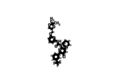 CC1(C)OC[C@@H](COc2cccc(NC(=O)N3c4nc(-c5cccc(C(F)(F)F)c5)c(Cl)cc4N4CCCC3C4)n2)O1